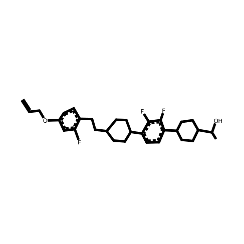 C=CCOc1ccc(CCC2CCC(c3ccc(C4CCC(C(C)O)CC4)c(F)c3F)CC2)c(F)c1